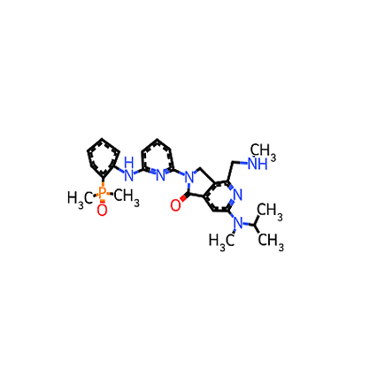 CNCc1nc(N(C)C(C)C)cc2c1CN(c1cccc(Nc3ccccc3P(C)(C)=O)n1)C2=O